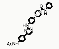 CC(=O)Nc1ccc(-c2ccnc(Nc3ccc(N4CCN(C(=O)Nc5ccccc5)CC4)cc3)n2)cc1